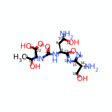 CC(O)[C@@H](NC(=O)N[C@@H](CC(N)O)c1nc([C@H](N)CO)no1)C(=O)O